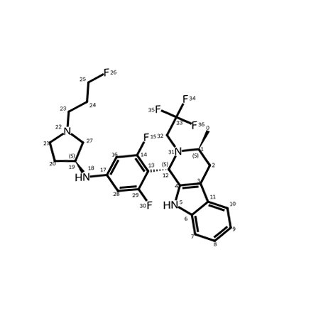 C[C@H]1Cc2c([nH]c3ccccc23)[C@H](c2c(F)cc(N[C@H]3CCN(CCCF)C3)cc2F)N1CC(F)(F)F